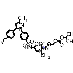 Cc1ccc(-c2cc(C)nn2-c2ccc(S(=O)(=O)NC(=O)CN(C)/[N+]([O-])=N/OCOC(=O)OC(C)C)cc2)cc1